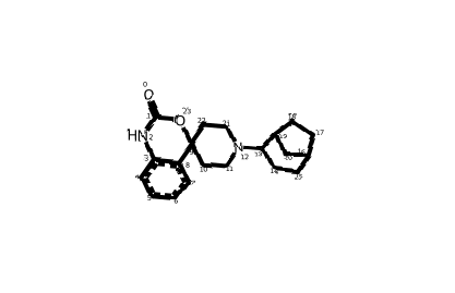 O=C1Nc2ccccc2C2(CCN(C3CCC4CCC3C4)CC2)O1